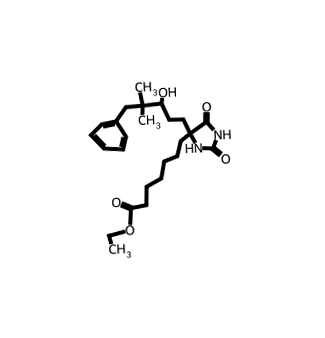 CCOC(=O)CCCCCCC1(CCC(O)C(C)(C)Cc2ccccc2)NC(=O)NC1=O